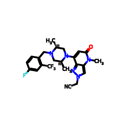 C[C@@H]1CN(c2cc(=O)n(C)c3cn(CC#N)nc23)[C@@H](C)CN1Cc1ccc(F)cc1C(F)(F)F